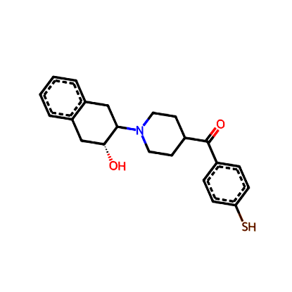 O=C(c1ccc(S)cc1)C1CCN(C2Cc3ccccc3C[C@H]2O)CC1